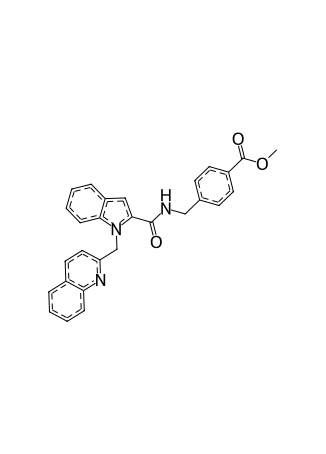 COC(=O)c1ccc(CNC(=O)c2cc3ccccc3n2Cc2ccc3ccccc3n2)cc1